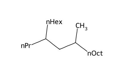 CCCCCCCCC(C)CC(CCC)CCCCCC